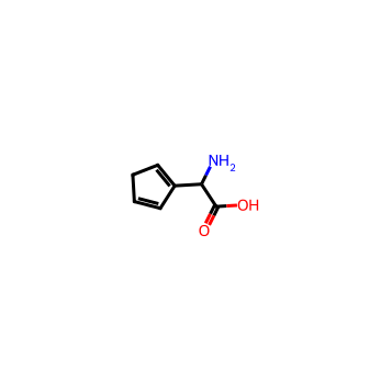 NC(C(=O)O)C1=CCC=C1